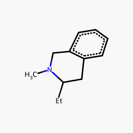 CCC1Cc2ccccc2CN1C